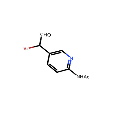 CC(=O)Nc1ccc(C(Br)C=O)cn1